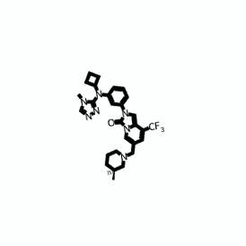 C[C@H]1CCCN(Cc2cc(C(F)(F)F)c3cn(-c4cccc(N(c5nncn5C)C5CCC5)c4)c(=O)n3c2)C1